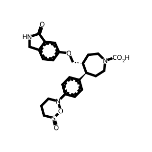 O=C1NCc2ccc(OC[C@@H]3CCN(C(=O)O)CC[C@H]3c3ccc(N4CCCS(=O)O4)cc3)cc21